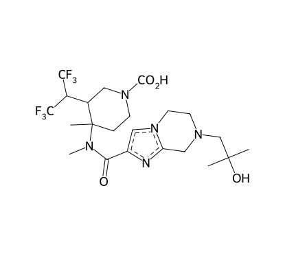 CN(C(=O)c1cn2c(n1)CN(CC(C)(C)O)CC2)C1(C)CCN(C(=O)O)CC1C(C(F)(F)F)C(F)(F)F